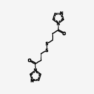 O=C(CCSSCCC(=O)n1ccnc1)n1ccnc1